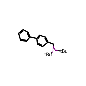 CC(C)(C)P(Cc1ccc(-c2ccccc2)cc1)C(C)(C)C